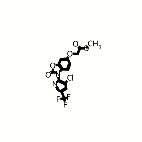 COC(=O)COc1ccc2c(c1)oc(=O)n2-c1ncc(C(F)(F)F)cc1Cl